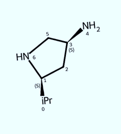 CC(C)[C@@H]1C[C@H](N)CN1